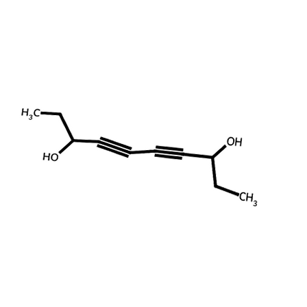 CCC(O)C#CC#CC(O)CC